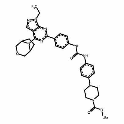 CC(C)(C)OC(=O)N1CCN(c2ccc(NC(=O)Nc3ccc(-c4nc(N5C6CCC5COC6)c5cnn(CC(F)(F)F)c5n4)cc3)cc2)CC1